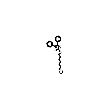 O=CCCCCCCSc1nc(-c2ccccc2)c(-c2ccccc2)s1